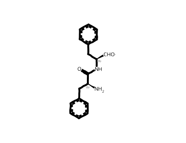 N[C@@H](Cc1ccccc1)C(=O)N[C@H]([C]=O)Cc1ccccc1